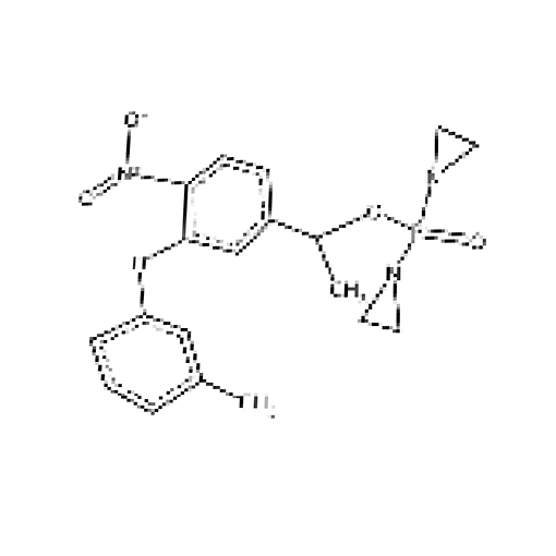 Cc1cccc(Oc2cc(C(C)OP(=O)(N3CC3)N3CC3)ccc2[N+](=O)[O-])c1